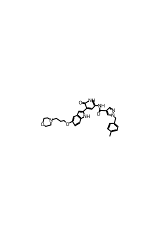 Cc1ccc(Cn2cc(C(=O)Nc3c[nH]c(=O)c(-c4cc5cc(OCCCN6CCOCC6)ccc5[nH]4)c3)cn2)cc1